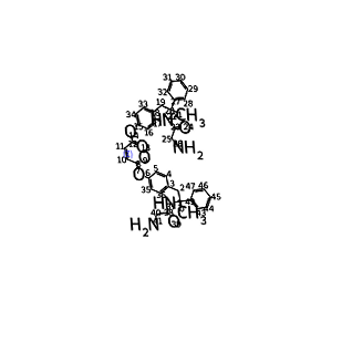 CC(Cc1ccc(OC(=O)/C=C\C(=O)Oc2ccc(CC(C)(NC(=O)CN)c3ccccc3)cc2)cc1)(NC(=O)CN)c1ccccc1